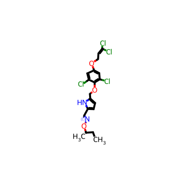 CCC(C)O/N=C/c1ccc(COc2c(Cl)cc(OCC=C(Cl)Cl)cc2Cl)[nH]1